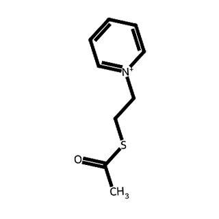 CC(=O)SCC[n+]1ccccc1